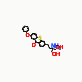 NC(CO)(CO)CCc1ccc2c(=O)c3cc(Oc4ccccc4)ccc3sc2c1